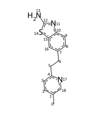 Cc1ccc(CCc2ccc3nc(N)sc3c2)nc1